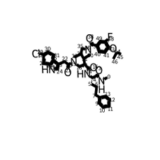 CNC(=O)[C@H](CCCc1ccccc1)NC(=O)C1CN(C(=O)Cc2c[nH]c3cc(Cl)ccc23)CC2CN(C(=O)c3ccc(OC(C)C)c(F)c3)CC21